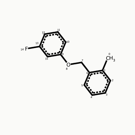 Cc1ccccc1COc1cc[c]c(F)c1